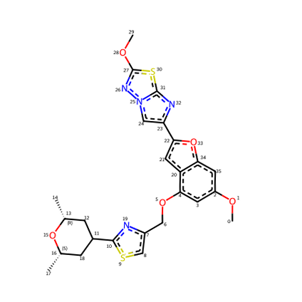 COc1cc(OCc2csc(C3C[C@@H](C)O[C@@H](C)C3)n2)c2cc(-c3cn4nc(OC)sc4n3)oc2c1